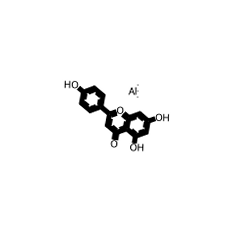 O=c1cc(-c2ccc(O)cc2)oc2cc(O)cc(O)c12.[Al]